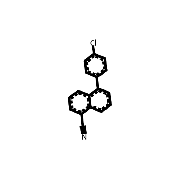 N#Cc1cccc2c(-c3ccc(Cl)cc3)cccc12